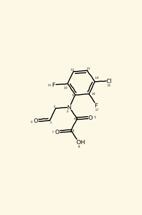 O=CCN(C(=O)C(=O)O)c1c(F)ccc(Cl)c1F